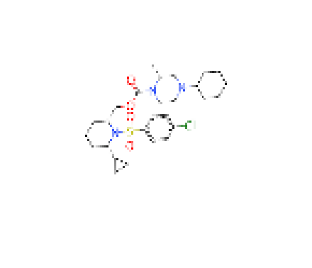 C[C@@H]1CN(C2CCCCC2)CCN1C(=O)OC[C@H]1CCC[C@@H](C2CC2)N1S(=O)(=O)c1ccc(Cl)cc1